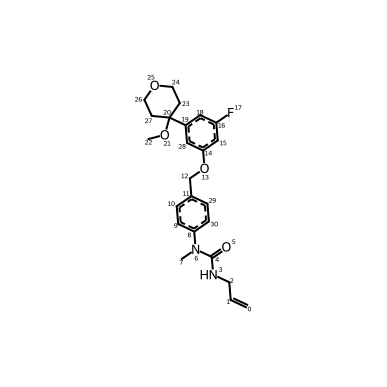 C=CCNC(=O)N(C)c1ccc(COc2cc(F)cc(C3(OC)CCOCC3)c2)cc1